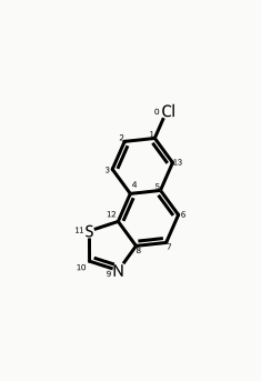 Clc1ccc2c(ccc3ncsc32)c1